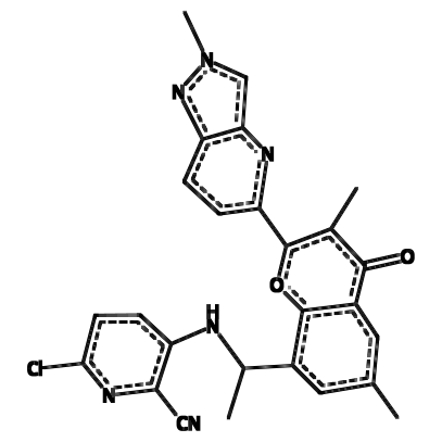 Cc1cc(C(C)Nc2ccc(Cl)nc2C#N)c2oc(-c3ccc4nn(C)cc4n3)c(C)c(=O)c2c1